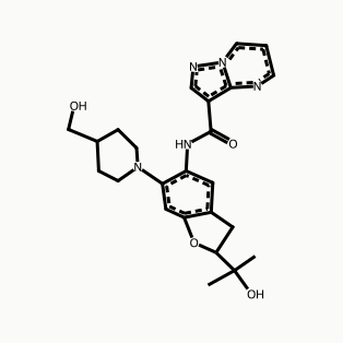 CC(C)(O)C1Cc2cc(NC(=O)c3cnn4cccnc34)c(N3CCC(CO)CC3)cc2O1